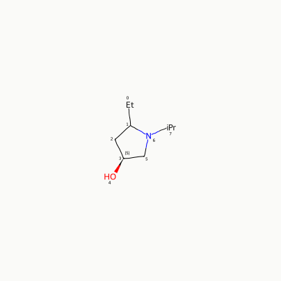 CCC1C[C@H](O)CN1C(C)C